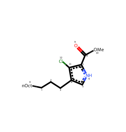 CCCCCCCCCCCc1c[nH]c(C(=O)OC)c1Cl